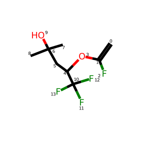 C=C(F)OC(CC(C)(C)O)C(F)(F)F